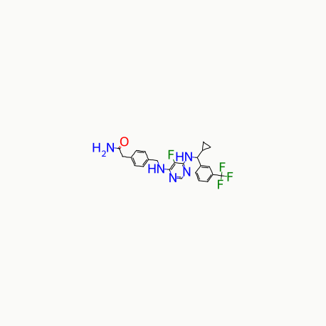 NC(=O)Cc1ccc(CNc2ncnc(NC(c3cccc(C(F)(F)F)c3)C3CC3)c2F)cc1